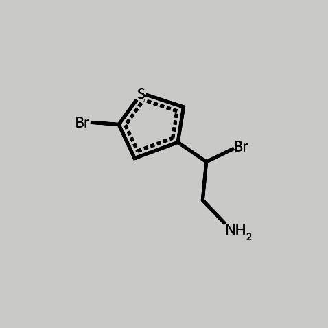 NCC(Br)c1csc(Br)c1